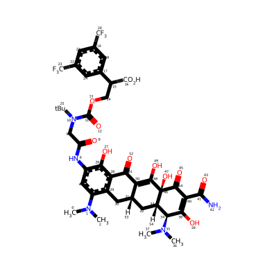 CN(C)c1cc(NC(=O)CN(C(=O)OCC(C(=O)O)c2cc(C(F)(F)F)cc(C(F)(F)F)c2)C(C)(C)C)c(O)c2c1C[C@H]1C[C@H]3[C@H](N(C)C)C(O)=C(C(N)=O)C(=O)[C@@]3(O)C(O)=C1C2=O